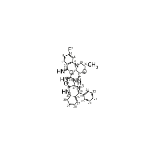 C[C@@H]1CN(c2cc(F)ccc2C(=N)OC(=N)N[C@H]2N=C(c3ccccc3)C3=CC=CCC3NC2=O)C[C@H](C)O1